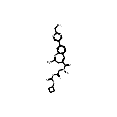 CCCN(CC(=O)NC(=O)OC1CCC1)C(=O)C1=Cc2ccc(-c3cnc(CN)nc3)cc2N=C(N)C1